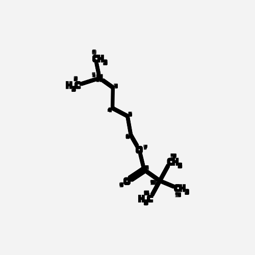 CN(C)CCCCOC(=O)C(C)(C)C